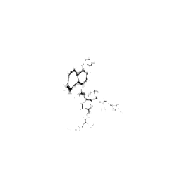 CNC(=O)COc1ccc(NC(=O)c2ccc(Cn3ccnn3)c3ccccc23)c(C(=O)NCC2CCC2)n1